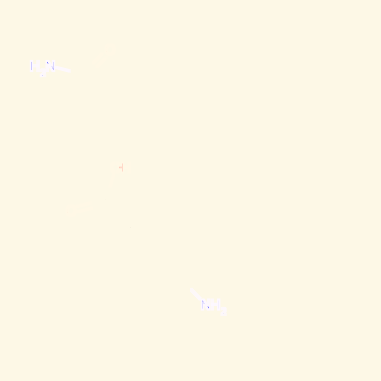 CCCCCCCCCCCCC(N)=O.Nc1ccc(C(=O)O)cc1